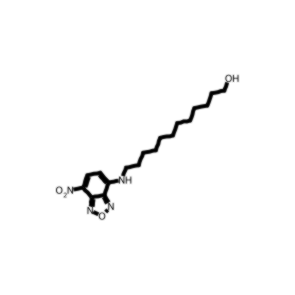 O=[N+]([O-])c1ccc(NCCCCCCCCCCCCO)c2nonc12